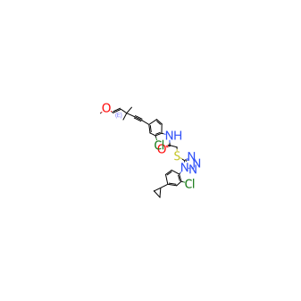 CO/C=C/C(C)(C)C#Cc1ccc(NC(=O)CSc2nnnn2-c2ccc(C3CC3)cc2Cl)c(Cl)c1